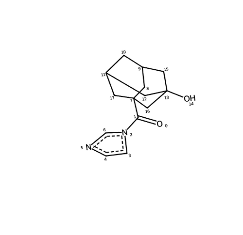 O=C(n1ccnc1)C12CC3CC(CC(O)(C3)C1)C2